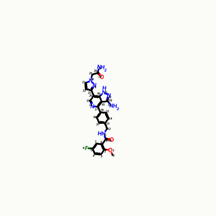 COc1ccc(F)cc1C(=O)NCc1ccc(-c2ncc(-c3ccn(CC(N)=O)n3)c3[nH]nc(N)c23)cc1